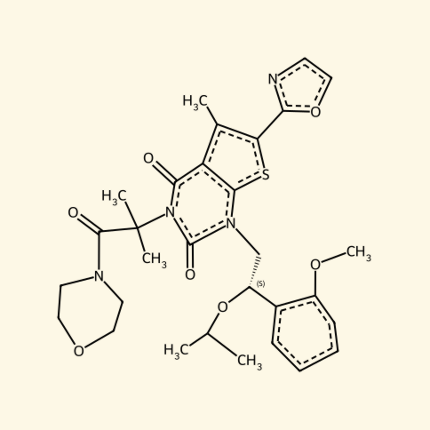 COc1ccccc1[C@@H](Cn1c(=O)n(C(C)(C)C(=O)N2CCOCC2)c(=O)c2c(C)c(-c3ncco3)sc21)OC(C)C